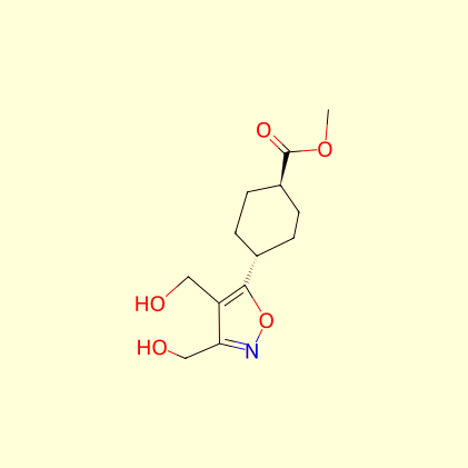 COC(=O)[C@H]1CC[C@H](c2onc(CO)c2CO)CC1